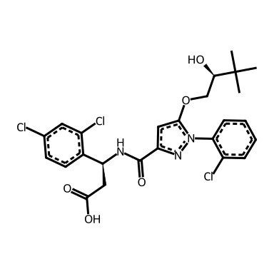 CC(C)(C)[C@H](O)COc1cc(C(=O)N[C@@H](CC(=O)O)c2ccc(Cl)cc2Cl)nn1-c1ccccc1Cl